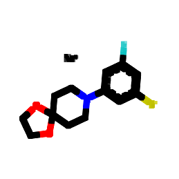 Fc1cc([S-])cc(N2CCC3(CC2)OCCO3)c1.[Na+]